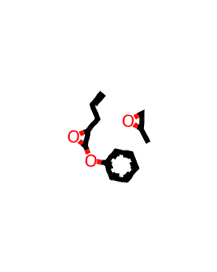 C=CCC1OC1Oc1ccccc1.CC1CO1